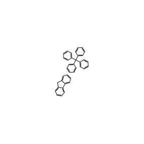 c1ccc(C(c2ccccc2)(c2ccccc2)c2ccccc2)cc1.c1ccc2c(c1)Cc1ccccc1-2